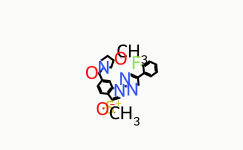 COC1CCN(C(=O)c2ccc3c([S+](C)[O-])cn(-c4ncc(-c5ccccc5F)cn4)c3c2)C1